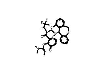 C/N=C(/Oc1c2n(ccc1=O)N([C@@H]1c3ccccc3SCc3cccc(Cl)c31)CN([C@H](C)C(F)(F)F)C2=O)N(C)C